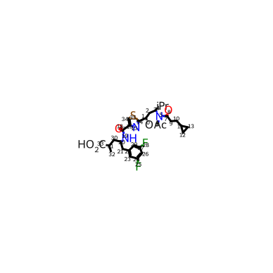 CC(=O)OC(CC(C(C)C)N(C)C(=O)CCC1CC1)c1nc(C(=O)NC(Cc2cc(F)cc(F)c2)CC(C)C(=O)O)cs1